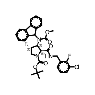 COC(=O)N(C1c2ccccc2-c2ccccc21)[C@H]1[C@@H](C(=O)NCc2cccc(Cl)c2F)N(C(=O)OC(C)(C)C)C[C@@H]1F